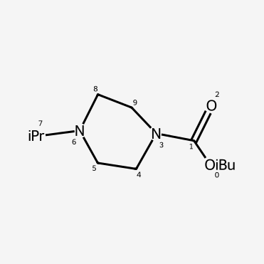 CC(C)COC(=O)N1CCN(C(C)C)CC1